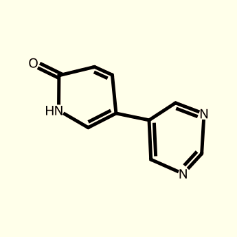 O=c1ccc(-c2cncnc2)c[nH]1